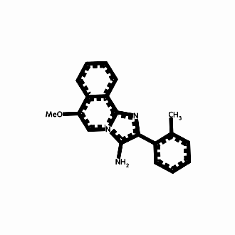 COc1cn2c(N)c(-c3ccccc3C)nc2c2ccccc12